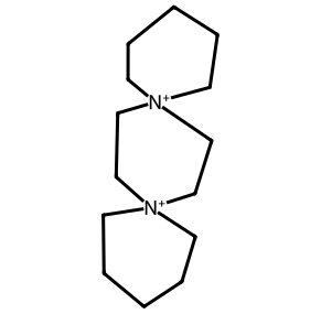 C1CC[N+]2(CC1)CC[N+]1(CCCCC1)CC2